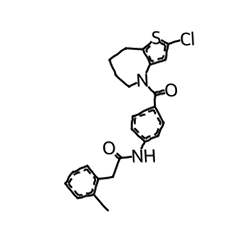 Cc1ccccc1CC(=O)Nc1ccc(C(=O)N2CCCCc3sc(Cl)cc32)cc1